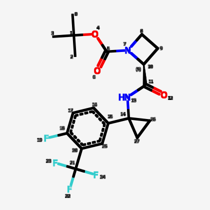 CC(C)(C)OC(=O)N1CC[C@H]1C(=O)NC1(c2ccc(F)c(C(F)(F)F)c2)CC1